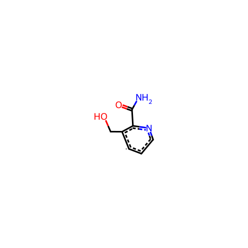 NC(=O)c1ncc[c]c1CO